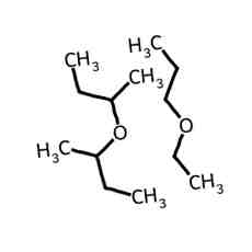 CCC(C)OC(C)CC.CCCOCC